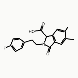 Cc1cc2c(cc1C)C(C(=O)O)N(CCc1ccc(F)cc1)C2=O